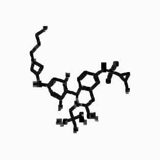 CC1Cc2cc(NS(=O)(=O)C3CC3F)ccc2C(c2c(F)cc(NC3CN(CCCF)C3)cc2F)N1CC(C)(C)F